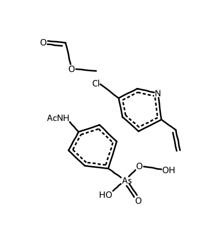 C=Cc1ccc(Cl)cn1.CC(=O)Nc1ccc([As](=O)(O)OO)cc1.COC=O